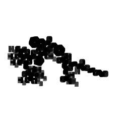 CCC(C)C(C(CC(=O)N1CCCC1C(OC)C(C)C(=O)NC(Cc1ccccc1)C(=O)NCc1ccc(NC(=O)C(CCCNC(N)=O)NC(=O)CNC(=O)COCCOCC=O)cc1)OC)N(C)C(=O)CNC(=O)C(C(C)C)N(C)C